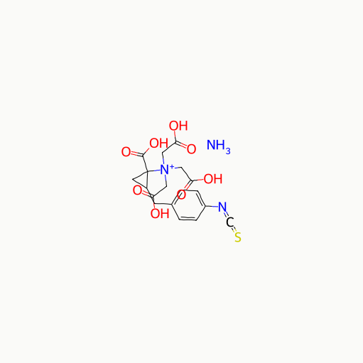 N.O=C(O)C[N+](CC(=O)O)(CC(=O)O)C1(C(=O)O)CC1Cc1ccc(N=C=S)cc1